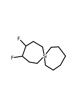 FC1CC[Si]2(CCCCCC2)CCC1F